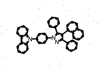 c1ccc(-c2nn(-c3ccc(-n4c5ccccc5c5ccccc54)cc3)c(-c3ccccc3)c2-c2cccc3ccccc23)cc1